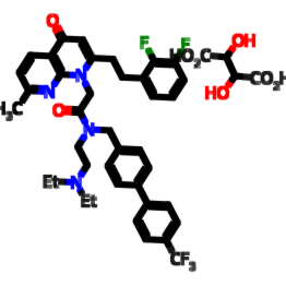 CCN(CC)CCN(Cc1ccc(-c2ccc(C(F)(F)F)cc2)cc1)C(=O)Cn1c(CCc2cccc(F)c2F)cc(=O)c2ccc(C)nc21.O=C(O)C(O)C(O)C(=O)O